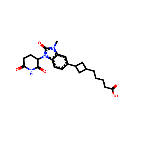 Cn1c(=O)n(C2CCC(=O)NC2=O)c2ccc(C3CC(CCCCC(=O)O)C3)cc21